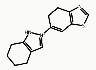 C1=C([n+]2cc3c([nH]2)CCCC3)CCc2ncsc21